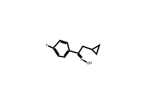 O/N=C(\CC1CC1)c1ccc(F)cc1